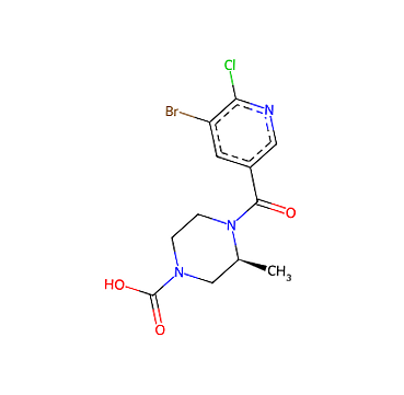 C[C@H]1CN(C(=O)O)CCN1C(=O)c1cnc(Cl)c(Br)c1